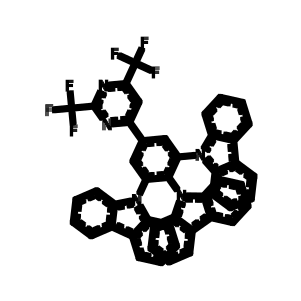 FC(F)(F)c1cc(-c2cc(-n3c4ccccc4c4ccccc43)c(-n3c4ccccc4c4ccccc43)c(-n3c4ccccc4c4ccccc43)c2)nc(C(F)(F)F)n1